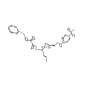 CCCC(CCNC(=O)OCc1ccccc1)[C@H]1C[C@H]1CCOc1ccc(S(C)(=O)=O)cn1